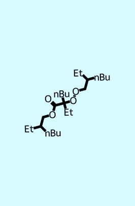 CCCCC(CC)COOC(CC)(CCCC)C(=O)OCC(CC)CCCC